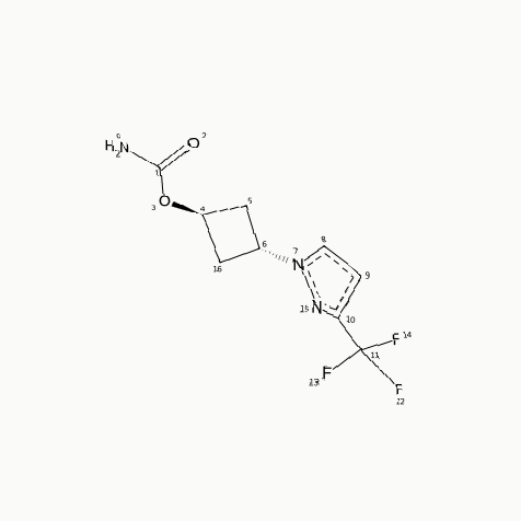 NC(=O)O[C@H]1C[C@H](n2ccc(C(F)(F)F)n2)C1